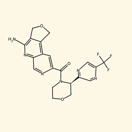 Nc1nc2cnc(C(=O)N3CCOC[C@@H]3c3cnc(C(F)(F)F)cn3)cc2c2c1COC2